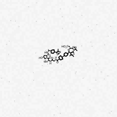 Cc1ncsc1-c1ccc([C@H](C)NC(=O)[C@@H]2C[C@@H](O)CN2C(=O)[C@@H](NC(=O)CNC(=O)c2ccc(-c3ccc(C4=N[C@@H](CC(=O)O)c5nnc(C)n5-c5sc(C)c(C)c54)cc3)cc2)C(C)(C)C)cc1